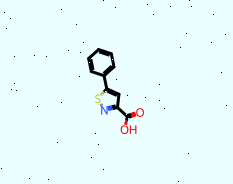 O=C(O)c1cc(-c2ccccc2)sn1